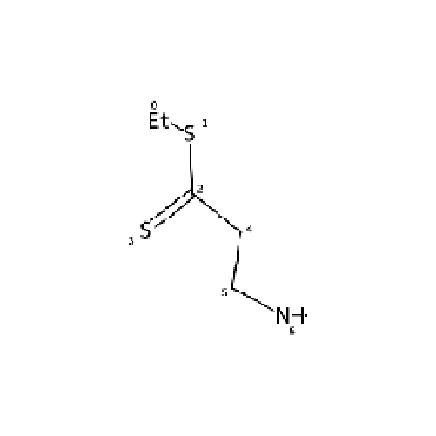 CCSC(=S)CC[NH]